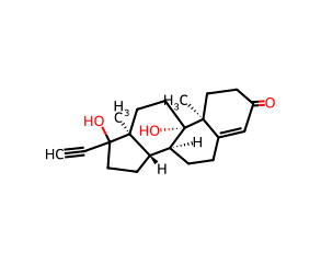 C#CC1(O)CC[C@H]2[C@@H]3CCC4=CC(=O)CC[C@]4(C)[C@]3(O)CC[C@@]21C